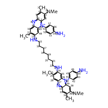 CNc1cc2c(cc1C)nc1cc(C)c(NCCCCCCCCNc3cc4c(cc3C)nc3cc(C)c(NC)cc3[n+]4-c3ccc(N)cc3)cc1[n+]2-c1ccc(N)cc1